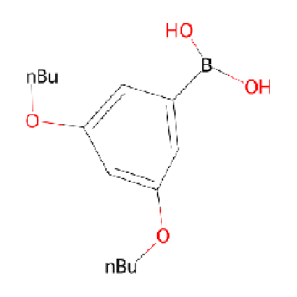 CCCCOc1cc(OCCCC)cc(B(O)O)c1